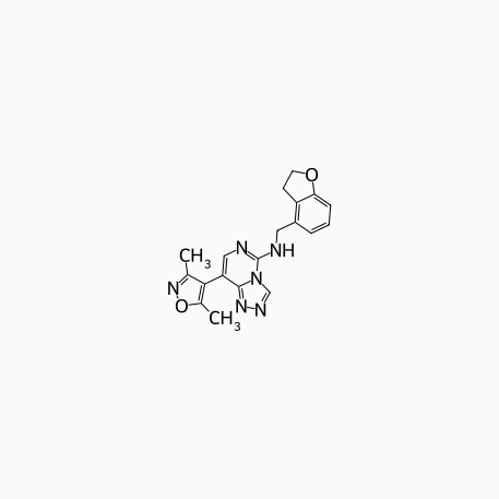 Cc1noc(C)c1-c1cnc(NCc2cccc3c2CCO3)n2cnnc12